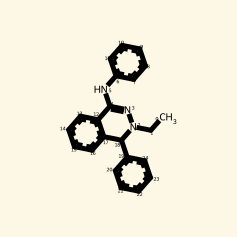 CCN1N=C(Nc2ccccc2)c2ccccc2C1c1ccccc1